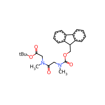 CN(CC(=O)OC(C)(C)C)C(=O)CN(C)C(=O)OCC1c2ccccc2-c2ccccc21